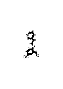 O=Cc1cc(Br)ccc1OCCc1cccnc1